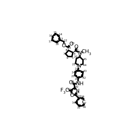 CN(C(=O)[C@H]1CCC[C@@H]1C(=O)OCc1ccccc1)C1CCN(c2ccc(NC(=O)c3nc(-c4ccccc4)oc3C(F)(F)F)cc2)CC1